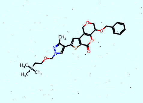 Cc1nn(COCC[Si](C)(C)C)cc1-c1cc2c3c(oc(=O)c2s1)C(OCc1ccccc1)COC3